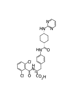 O=C(N[C@@H](Cc1ccc(NC(=O)[C@H]2CC[C@@H](Nc3ncccn3)CC2)cc1)C(=O)O)c1c(Cl)cccc1Cl